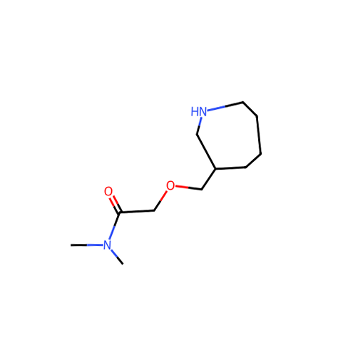 CN(C)C(=O)COCC1CCCCNC1